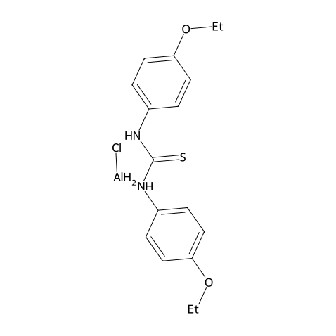 CCOc1ccc(NC(=S)Nc2ccc(OCC)cc2)cc1.[AlH2][Cl]